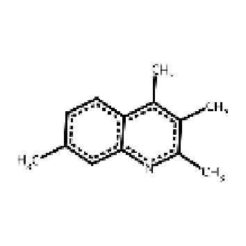 Cc1ccc2c(C)c(C)c(C)nc2c1